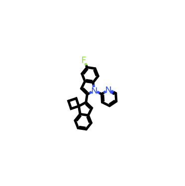 Fc1ccc2c(c1)cc(C1=Cc3ccccc3C13CCC3)n2-c1ccccn1